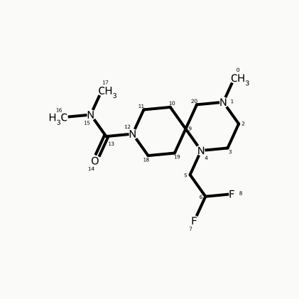 CN1CCN(CC(F)F)C2(CCN(C(=O)N(C)C)CC2)C1